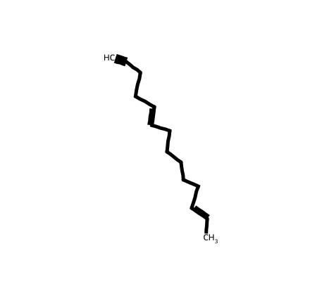 C#CCC/C=C/CCCCC/C=C/C